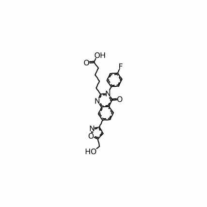 O=C(O)CCCCc1nc2cc(-c3cc(CO)on3)ccc2c(=O)n1-c1ccc(F)cc1